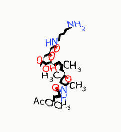 CC(=O)OC(C)C=CC(=O)N[C@@H]1C[C@H](C)[C@H](CC=C(C)C=C[C@H]2O[C@H](CC(=O)NCCCCCN)C[C@@]3(CO3)[C@@H]2O)O[C@@H]1C